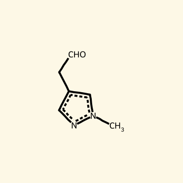 Cn1cc(CC=O)cn1